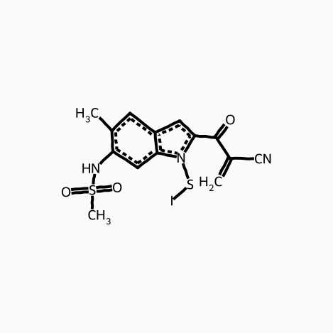 C=C(C#N)C(=O)c1cc2cc(C)c(NS(C)(=O)=O)cc2n1SI